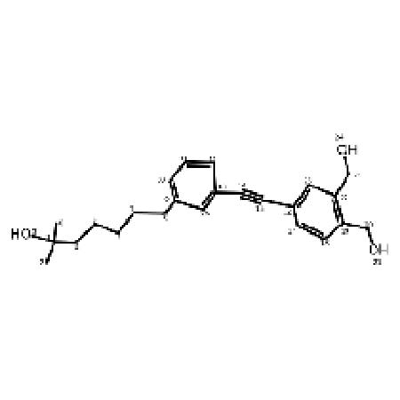 CC(C)(O)CCCCCc1cccc(C#Cc2ccc(CO)c(CO)c2)c1